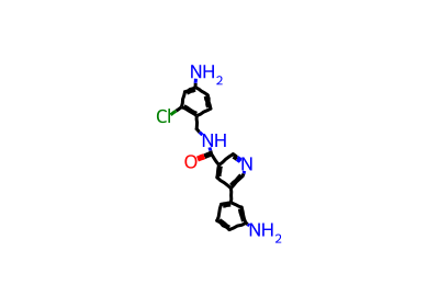 Nc1cccc(-c2cncc(C(=O)NCc3ccc(N)cc3Cl)c2)c1